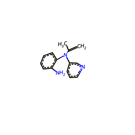 C=C(C)N(c1cccnc1)c1ccccc1N